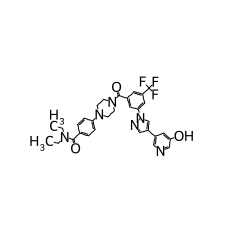 CCN(CC)C(=O)c1ccc(N2CCN(C(=O)c3cc(-n4cc(-c5cncc(O)c5)cn4)cc(C(F)(F)F)c3)CC2)cc1